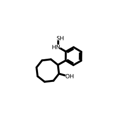 OC1CCCCCCC1c1ccccc1NS